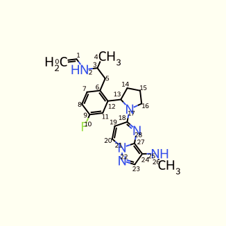 C=CNC(C)Cc1ccc(F)cc1C1CCCN1c1ccn2ncc(NC)c2n1